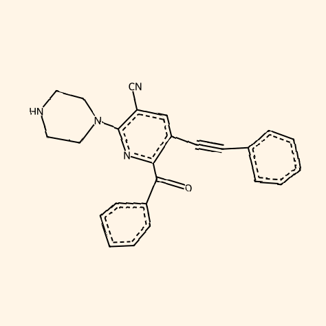 N#Cc1cc(C#Cc2ccccc2)c(C(=O)c2ccccc2)nc1N1CCNCC1